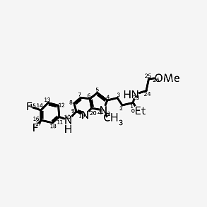 CCC(CCc1cc2ccc(Nc3ccc(F)c(F)c3)nc2n1C)NCCOC